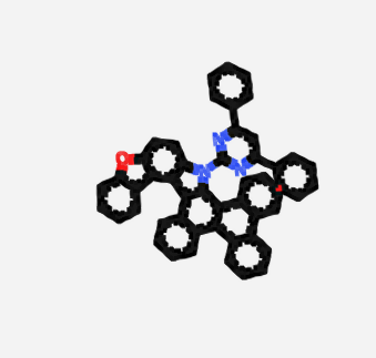 c1ccc(-c2cc(-c3ccccc3)nc(-n3c4ccc5oc6ccccc6c5c4c4c5ccccc5c5c6ccccc6c6ccccc6c5c43)n2)cc1